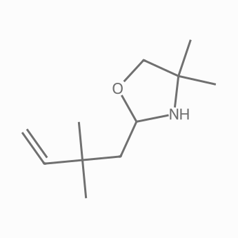 C=CC(C)(C)CC1NC(C)(C)CO1